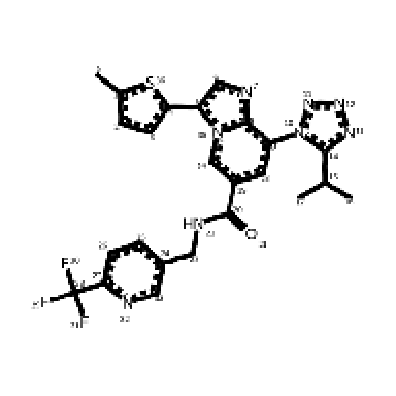 Cc1ccc(-c2cnc3c(-n4nnnc4C(C)C)cc(C(=O)NCc4ccc(C(F)(F)F)nc4)cn23)s1